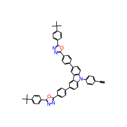 C#Cc1ccc(-n2c3ccc(-c4ccc(-c5nnc(-c6ccc(C(C)(C)C)cc6)o5)cc4)cc3c3cc(-c4ccc(-c5nnc(-c6ccc(C(C)(C)C)cc6)o5)cc4)ccc32)cc1